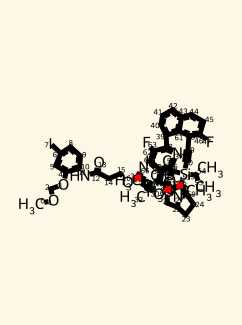 COCOc1cc(I)ccc1NC(=O)CCOc1nc(N2CC3CCC(C2)N3C(=O)OC(C)(C)C)c2cnc(-c3cccc4ccc(F)c(C#C[Si](C(C)C)(C(C)C)C(C)C)c34)c(F)c2n1